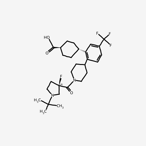 CC(C)(C)N1CC[C@](F)(C(=O)N2CCC(c3ccc(C(F)(F)F)cc3[C@H]3CC[C@H](C(=O)O)CC3)CC2)C1